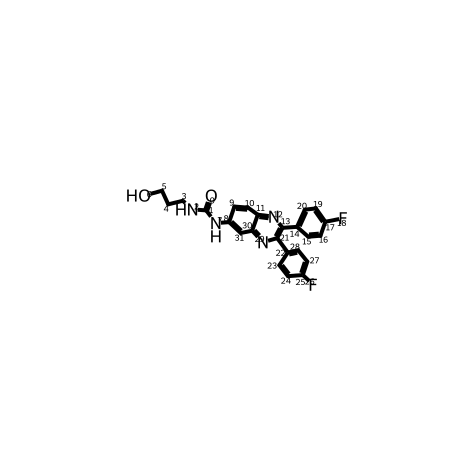 O=C(NCCCO)Nc1ccc2nc(-c3ccc(F)cc3)c(-c3ccc(F)cc3)nc2c1